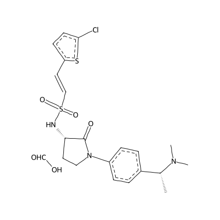 C[C@H](c1ccc(N2CC[C@H](NS(=O)(=O)/C=C/c3ccc(Cl)s3)C2=O)cc1)N(C)C.O=CO